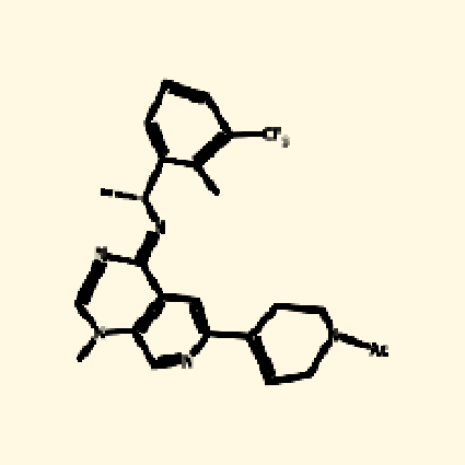 CC(=O)N1CC=C(c2cc3/c(=N/[C@H](C)c4cccc(C(F)(F)F)c4C)ncn(C)c3cn2)CC1